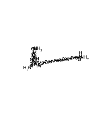 CC(C)C(NC(=O)COCCOCCOCCOCCOCCOCCOCCOCCOCC(=O)NN)C(=O)N[C@@H](CCCCN)C(=O)Nc1ccc(COC(N)=O)cc1